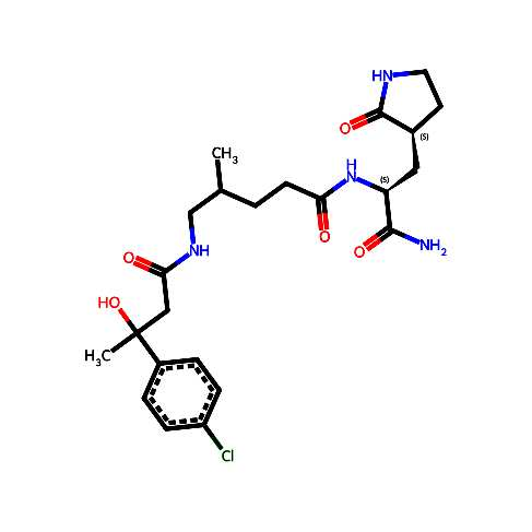 CC(CCC(=O)N[C@@H](C[C@@H]1CCNC1=O)C(N)=O)CNC(=O)CC(C)(O)c1ccc(Cl)cc1